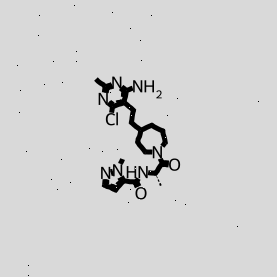 Cc1nc(N)c(CCC2CCCN(C(=O)[C@H](C)NC(=O)c3ccnn3C)CC2)c(Cl)n1